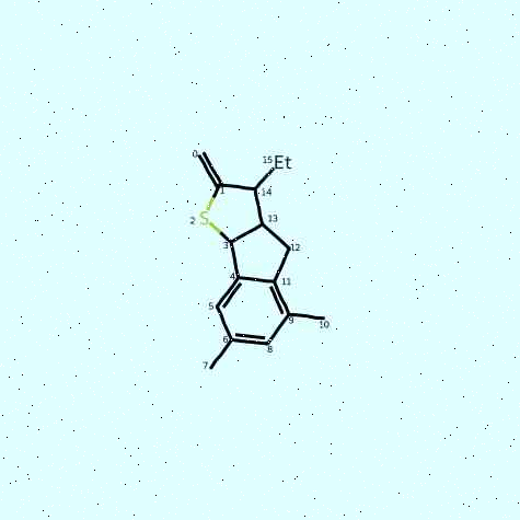 C=C1SC2c3cc(C)cc(C)c3CC2C1CC